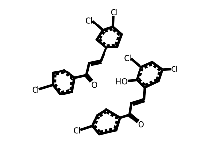 O=C(/C=C/c1cc(Cl)cc(Cl)c1O)c1ccc(Cl)cc1.O=C(/C=C/c1ccc(Cl)c(Cl)c1)c1ccc(Cl)cc1